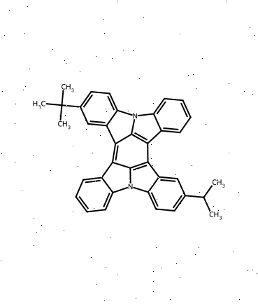 CC(C)c1ccc2c(c1)c1c3c4ccccc4n4c5ccc(C(C)(C)C)cc5c(c5c6ccccc6n2c51)c34